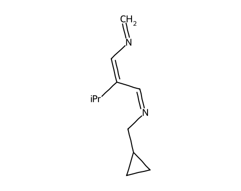 C=N/C=C(\C=N/CC1CC1)C(C)C